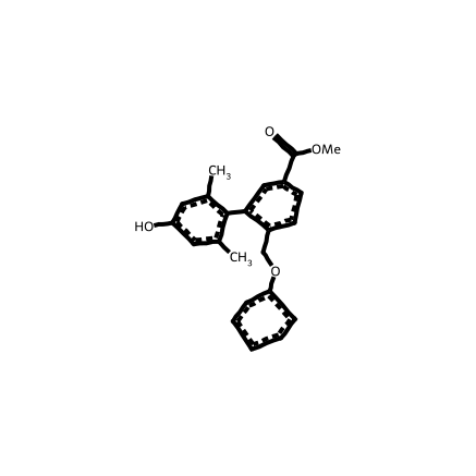 COC(=O)c1ccc(COc2ccccc2)c(-c2c(C)cc(O)cc2C)c1